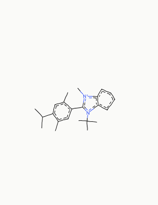 Cc1cc(C(C)C)c(C)cc1-c1n(C(C)(C)C)c2ccccc2[n+]1C